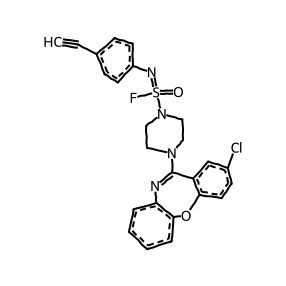 C#Cc1ccc(N=S(=O)(F)N2CCN(C3=Nc4ccccc4Oc4ccc(Cl)cc43)CC2)cc1